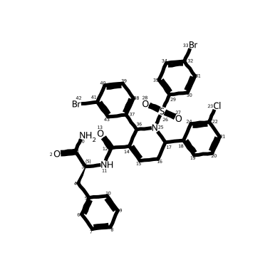 NC(=O)[C@H](Cc1ccccc1)NC(=O)C1=CCC(c2cccc(Cl)c2)N(S(=O)(=O)c2ccc(Br)cc2)C1c1cccc(Br)c1